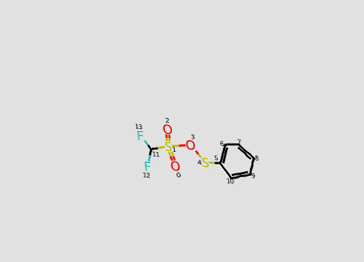 O=S(=O)(OSc1ccccc1)C(F)F